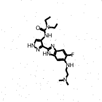 CCN(CC)C(=O)Nc1c[nH]nc1-c1nc2cc(F)c(NCCN(C)C)cc2[nH]1